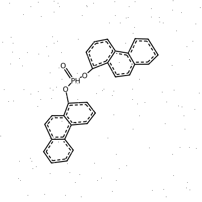 O=[PH](Oc1cccc2c1ccc1ccccc12)Oc1cccc2c1ccc1ccccc12